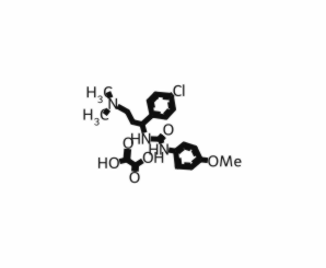 COc1ccc(NC(=O)NC(CCN(C)C)c2ccc(Cl)cc2)cc1.O=C(O)C(=O)O